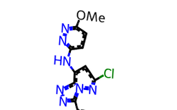 COc1ccc(Nc2cc(Cl)nn3c(C(C)C)nnc23)nn1